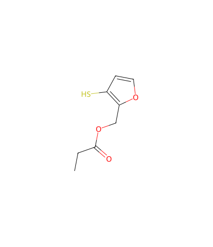 CCC(=O)OCc1occc1S